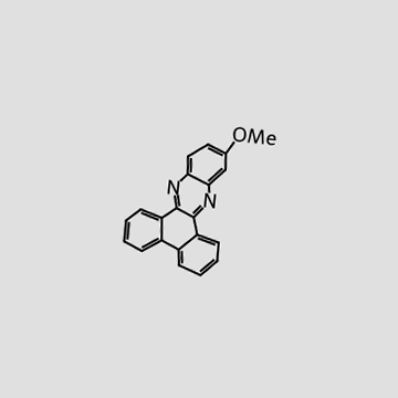 COc1ccc2nc3c4ccccc4c4ccccc4c3nc2c1